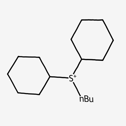 CCCC[S+](C1CCCCC1)C1CCCCC1